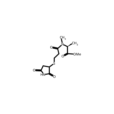 COC(=O)[C@H](C)N(C)C(=O)CCSC1CC(=O)NC1=O